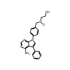 Nc1ncnc2c1c(-c1ccccc1)cn2-c1ccc(C[S+]([O-])CCO)cc1